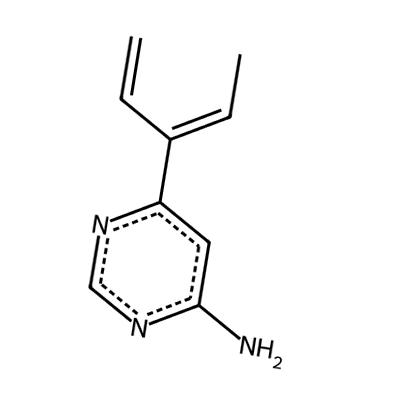 C=C/C(=C\C)c1cc(N)ncn1